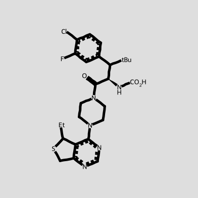 CCC1SCc2ncnc(N3CCN(C(=O)[C@H](NC(=O)O)C(c4ccc(Cl)c(F)c4)C(C)(C)C)CC3)c21